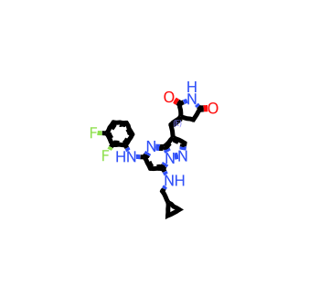 O=C1C/C(=C\c2cnn3c(NCC4CC4)cc(Nc4cccc(F)c4F)nc23)C(=O)N1